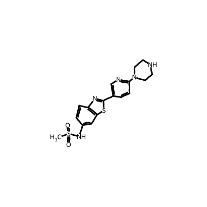 CS(=O)(=O)Nc1ccc2nc(-c3ccc(N4CCNCC4)nc3)sc2c1